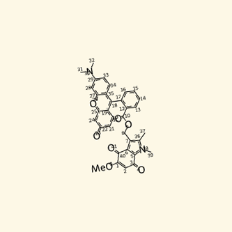 COC1=CC(=O)c2c(c(COC(=O)c3ccccc3-c3c4ccc(=O)cc-4oc4cc(N(C)C)ccc34)c(C)n2C)C1=O